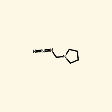 [N-]=[N+]=NCN1CCCC1